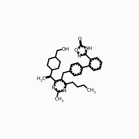 C=C(c1nc(C)nc(CCCC)c1Cc1ccc(-c2ccccc2-c2noc(=O)[nH]2)cc1)C1CCC(CO)CC1